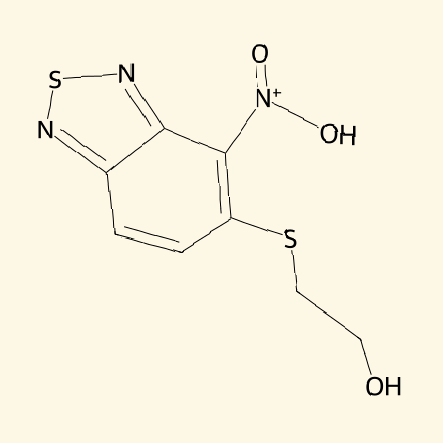 O=[N+](O)c1c(SCCO)ccc2nsnc12